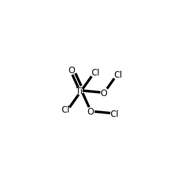 [O]=[Ti]([Cl])([Cl])([O]Cl)[O]Cl